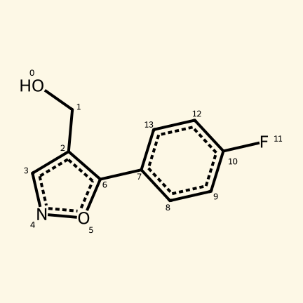 OCc1cnoc1-c1ccc(F)cc1